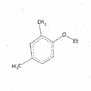 CCOc1ccc(C)cc1C